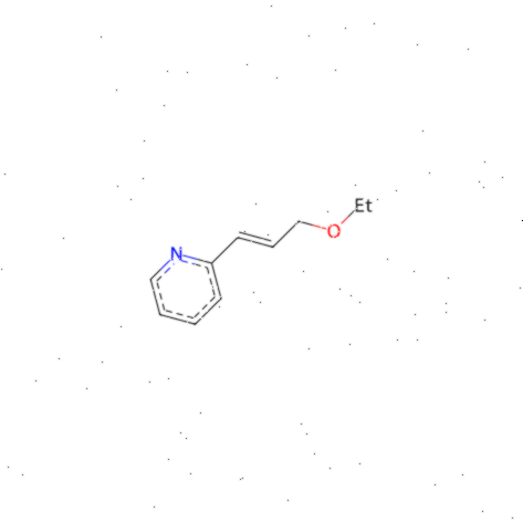 CCOC/C=C/c1ccccn1